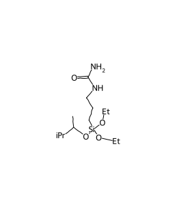 CCO[Si](CCCNC(N)=O)(OCC)OC(C)C(C)C